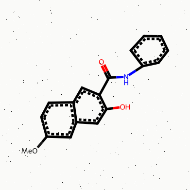 COc1ccc2cc(C(=O)Nc3ccccc3)c(O)cc2c1